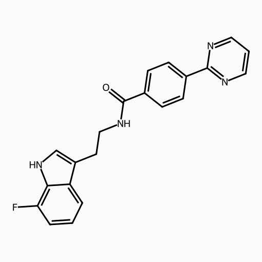 O=C(NCCc1c[nH]c2c(F)cccc12)c1ccc(-c2ncccn2)cc1